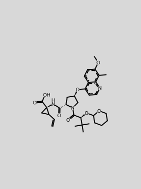 C=CC1C[C@]1(NC(=O)[C@@H]1C[C@@H](Oc2ccnc3c(C)c(OC)ccc23)CN1C(=O)[C@@H](OC1CCCCO1)C(C)(C)C)C(=O)O